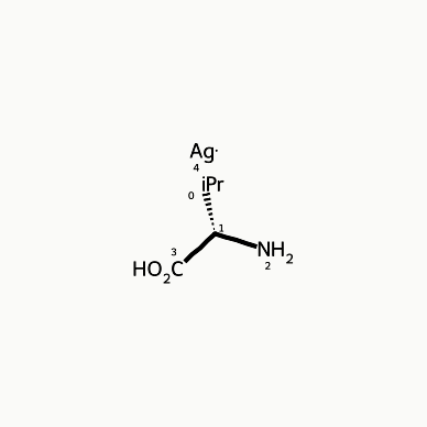 CC(C)[C@H](N)C(=O)O.[Ag]